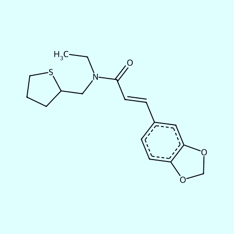 CCN(CC1CCCS1)C(=O)/C=C/c1ccc2c(c1)OCO2